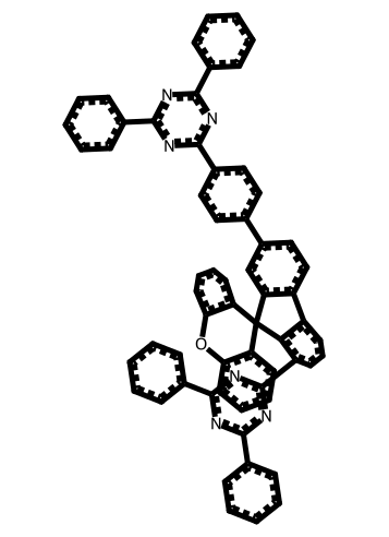 c1ccc(-c2nc(-c3ccccc3)nc(-c3ccc(-c4ccc5c(c4)C4(c6ccccc6Oc6ccccc64)c4c(-c6nc(-c7ccccc7)nc(-c7ccccc7)n6)cccc4-5)cc3)n2)cc1